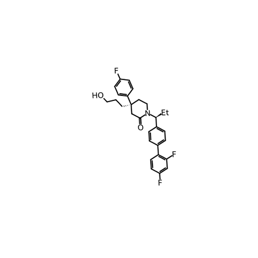 CC[C@@H](c1ccc(-c2ccc(F)cc2F)cc1)N1CC[C@](CCCO)(c2ccc(F)cc2)CC1=O